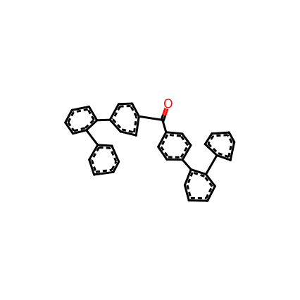 O=C(c1ccc(-c2ccccc2-c2ccccc2)cc1)c1ccc(-c2ccccc2-c2ccccc2)cc1